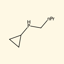 CCCCPC1CC1